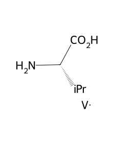 CC(C)[C@H](N)C(=O)O.[V]